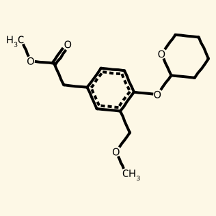 COCc1cc(CC(=O)OC)ccc1OC1CCCCO1